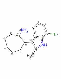 Cc1[nH]c2c(F)cccc2c1C1CCCCCC1N